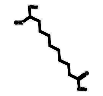 CCCCCCCCCC(C=O)CCCCCCCCC(=O)OC